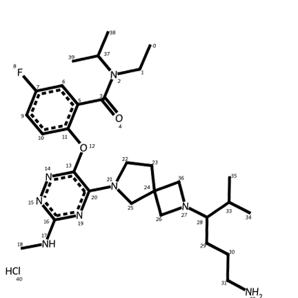 CCN(C(=O)c1cc(F)ccc1Oc1nnc(NC)nc1N1CCC2(C1)CN(C(CCCN)C(C)C)C2)C(C)C.Cl